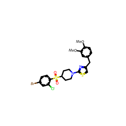 COc1ccc(Cc2csc(N3CCC(S(=O)(=O)c4ccc(Br)cc4Cl)CC3)n2)cc1OC